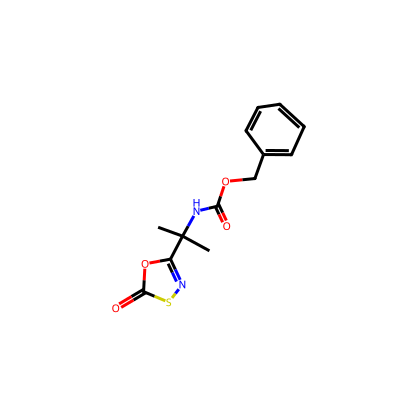 CC(C)(NC(=O)OCc1ccccc1)c1nsc(=O)o1